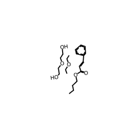 CCCCOC(=O)/C=C/c1ccccc1.CCOCC.OCCOCCO